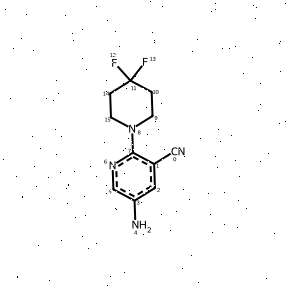 N#Cc1cc(N)cnc1N1CCC(F)(F)CC1